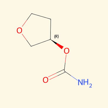 NC(=O)O[C@@H]1CCOC1